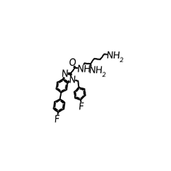 NCCCC(N)CNC(=O)c1nc2ccc(-c3ccc(F)cc3)cc2n1Cc1ccc(F)cc1